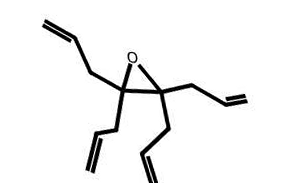 C=CCC1(CC=C)OC1(CC=C)CC=C